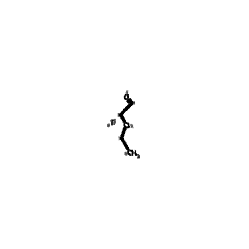 CCOC[C]=O.[Ti]